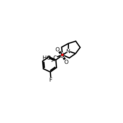 O=C(O)N1CC2CCC(C1)N2S(=O)(=O)c1cccc(F)c1